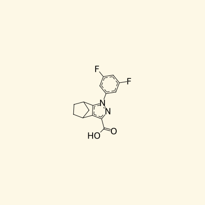 O=C(O)c1nn(-c2cc(F)cc(F)c2)c2c1C1CCC2C1